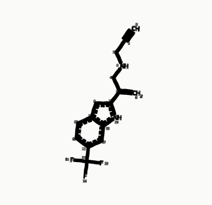 C#CCNCC(=C)c1cc2ccc(C(F)(F)F)cc2[nH]1